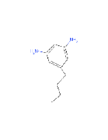 CCCCc1cc(N)cc(N)c1